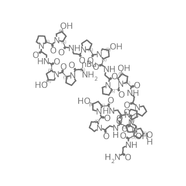 CCCC[C@H](N)C(=O)N1CCC[C@H]1C(=O)N1C[C@H](O)C[C@H]1C(=O)NCC(=O)N1CCC[C@H]1C(=O)N1C[C@H](O)C[C@H]1C(=O)NCC(=O)N1CCC[C@H]1C(=O)N1C[C@H](O)C[C@H]1C(=O)NCC(=O)N1CCC[C@H]1C(=O)N1C[C@H](O)C[C@H]1C(=O)NCC(=O)N1CCC[C@H]1C(=O)N1C[C@H](O)C[C@H]1C(=O)NCC(=O)N1CCC[C@H]1C(=O)N1C[C@H](O)C[C@H]1C(=O)NCC(=O)N1CCC[C@H]1C(=O)N1C[C@H](O)C[C@H]1C(=O)NCC(N)=O